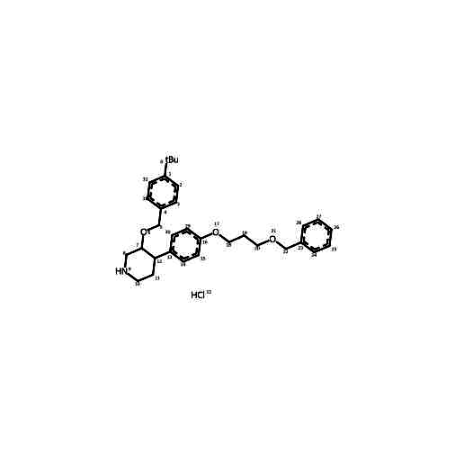 CC(C)(C)c1ccc(COC2CNCCC2c2ccc(OCCCOCc3ccccc3)cc2)cc1.Cl